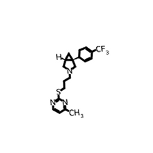 Cc1ccnc(SCCCN2C[C@@H]3C[C@]3(C3C=CC(C(F)(F)F)=CC3)C2)n1